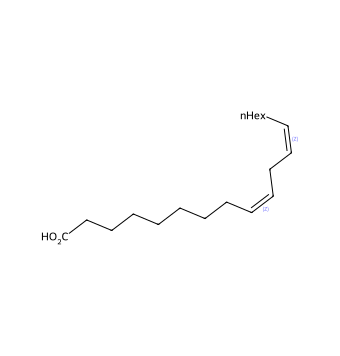 CCCCCC/C=C\C/C=C\CCCCCCCC(=O)O